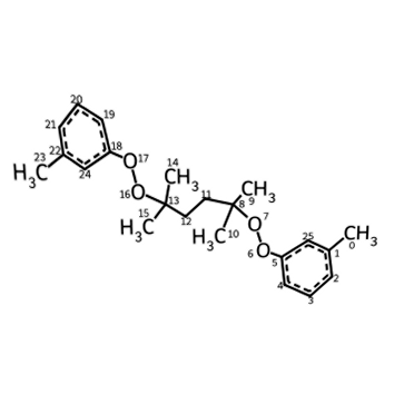 Cc1cccc(OOC(C)(C)CCC(C)(C)OOc2cccc(C)c2)c1